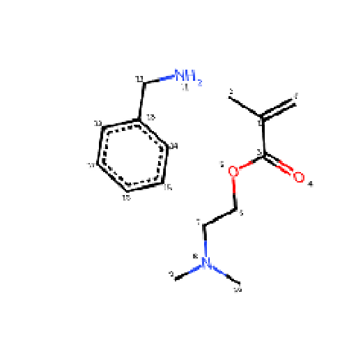 C=C(C)C(=O)OCCN(C)C.NCc1ccccc1